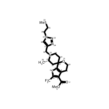 COC(=O)c1c(C(F)(F)F)sc2c1CCOC21CCN(Cc2cn(CCSC)nn2)[C@@H](C)C1